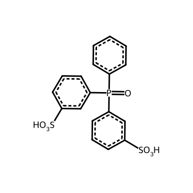 O=P(c1ccccc1)(c1cccc(S(=O)(=O)O)c1)c1cccc(S(=O)(=O)O)c1